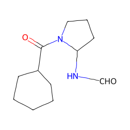 O=CNC1CCCN1C(=O)C1CCCCC1